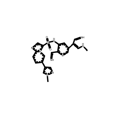 CN/C=C(\C=N)c1cnc(C=N)c(NS(=O)(=O)c2cnc3ccc(-c4cnn(C)c4)cn23)c1